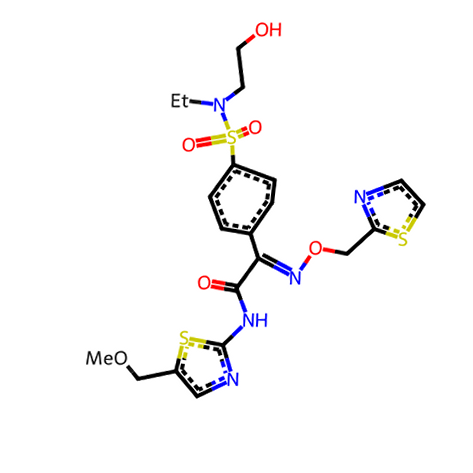 CCN(CCO)S(=O)(=O)c1ccc(/C(=N\OCc2nccs2)C(=O)Nc2ncc(COC)s2)cc1